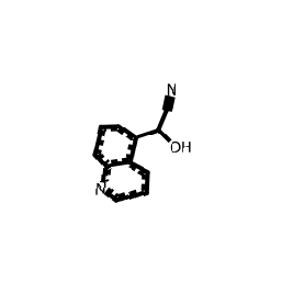 N#CC(O)c1cccc2ncccc12